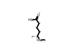 CN[C@H](C)CCCC(=O)S